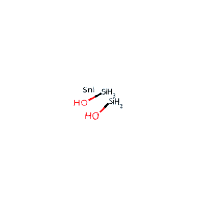 O[SiH3].O[SiH3].[Sn]